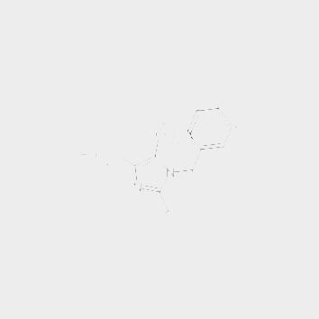 CCOC(=O)c1nc(C)n(Cc2ccccc2)c1C(=O)OCC